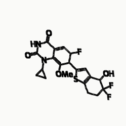 COC1=c2c(c(=O)[nH]c(=O)n2C2CC2)=CC(F)C1c1cc2c(s1)CCC(F)(F)C2O